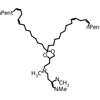 C=N/C(=C\NC)CCN(C)CCC1COC(CCCCCCCC/C=C\C/C=C\CCCCC)(CCCCCCCC/C=C\C/C=C\CCCCC)O1